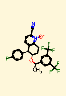 C[C@@H](O[C@H]1CCc2c(ccc(C#N)[n+]2[O-])[C@@H]1c1ccc(F)cc1)c1cc(C(F)(F)F)cc(C(F)(F)F)c1